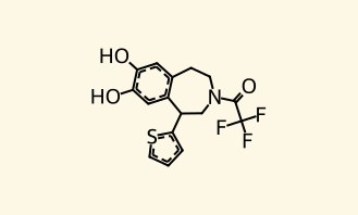 O=C(N1CCc2cc(O)c(O)cc2C(c2cccs2)C1)C(F)(F)F